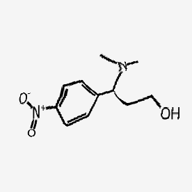 CN(C)[C@@H](CCO)c1ccc([N+](=O)[O-])cc1